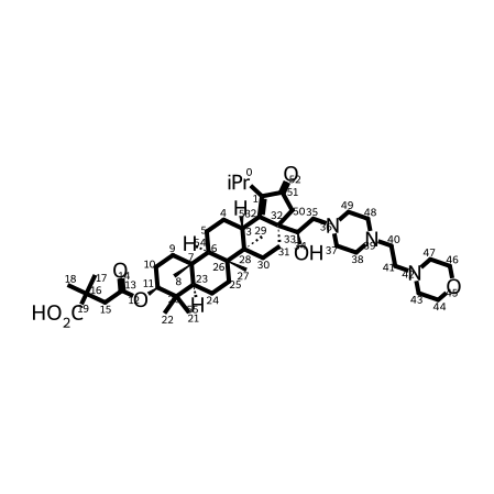 CC(C)C1=C2[C@H]3CC[C@@H]4[C@@]5(C)CC[C@H](OC(=O)CC(C)(C)C(=O)O)C(C)(C)[C@@H]5CC[C@@]4(C)[C@]3(C)CC[C@@]2([C@H](O)CN2CCN(CCN3CCOCC3)CC2)CC1=O